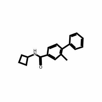 Cc1cc(C(=O)NC2CCC2)ccc1-c1ccccc1